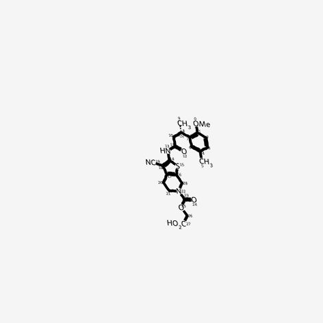 COc1ccc(C)cc1[C@@H](C)CC(=O)Nc1sc2c(c1C#N)CCN(C(=O)OCC(=O)O)C2